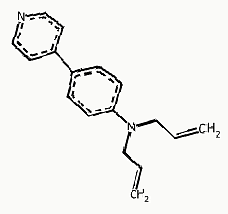 C=CCN(CC=C)c1ccc(-c2ccncc2)cc1